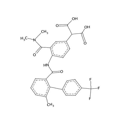 Cc1cccc(C(=O)Nc2ccc(C(C(=O)O)C(=O)O)cc2C(=O)N(C)C)c1-c1ccc(C(F)(F)F)cc1